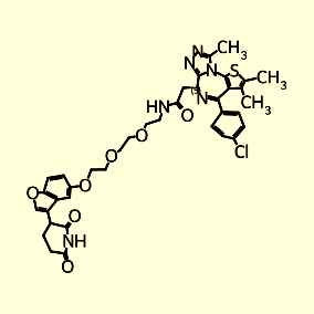 Cc1sc2c(c1C)C(c1ccc(Cl)cc1)=N[C@@H](CC(=O)NCCOCCOCCOc1ccc3occ(C4CCC(=O)NC4=O)c3c1)c1nnc(C)n1-2